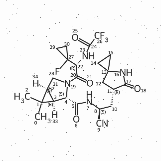 CC1(C)[C@@H]2[C@@H](C(=O)N[C@H](C#N)C[C@@H]3CC4(CC4)NC3=O)N(C(=O)[C@@H](NC(=O)C(F)(F)F)C3(F)CC3)C[C@@H]21